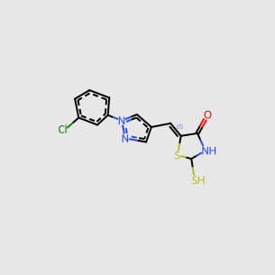 O=C1NC(S)S/C1=C\c1cnn(-c2cccc(Cl)c2)c1